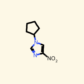 O=[N+]([O-])c1cn(C2CCCC2)cn1